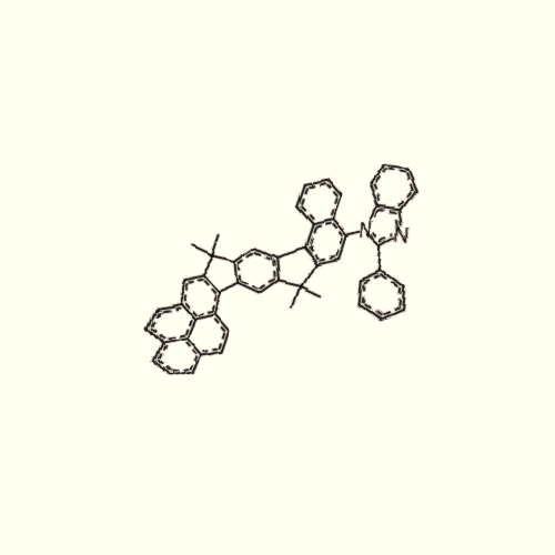 CC1(C)c2cc3c(cc2-c2c1cc(-n1c(-c4ccccc4)nc4ccccc41)c1ccccc21)C(C)(C)c1cc2ccc4cccc5ccc(c1-3)c2c45